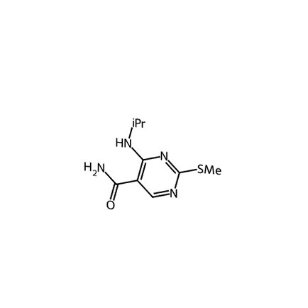 CSc1ncc(C(N)=O)c(NC(C)C)n1